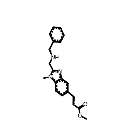 COC(=O)C=Cc1ccc2c(c1)nc(CNCc1ccccc1)n2C